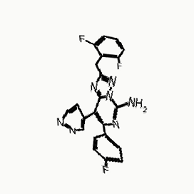 Nc1nc(-c2ccc(F)cc2)c(-c2ccnnc2)c2nc(Cc3c(F)cccc3F)nn12